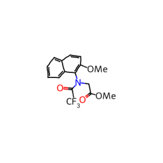 COC(=O)CN(C(=O)C(F)(F)F)c1c(OC)ccc2ccccc12